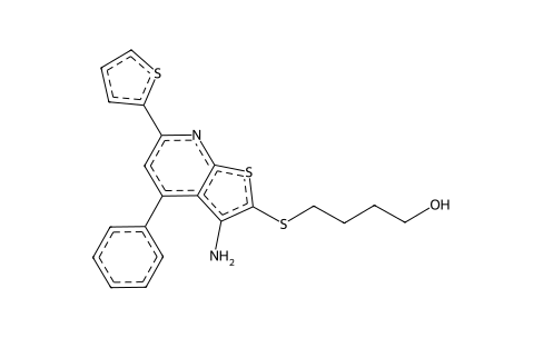 Nc1c(SCCCCO)sc2nc(-c3cccs3)cc(-c3ccccc3)c12